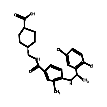 Cc1cc(C(=O)NC[C@H]2CC[C@H](C(=O)O)CC2)ccc1NC(C)c1cc(Cl)ccc1Cl